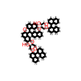 OCCOc1ccc2ccccc2c1-c1c(OCCOc2ccc3ccc4c(c3c2)C(c2ccc3ccccc3c2)c2c(ccc3ccc(OCCOc5ccc6ccccc6c5-c5c(OCCO)ccc6ccccc56)cc23)O4)ccc2ccccc12